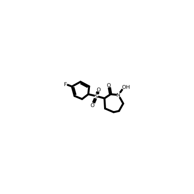 O=C1C(S(=O)(=O)C2C=CC(F)=CC2)CCCCN1O